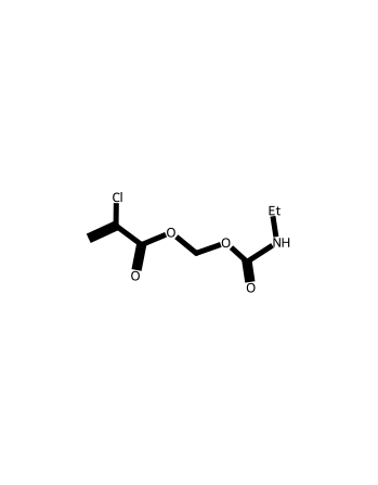 C=C(Cl)C(=O)OCOC(=O)NCC